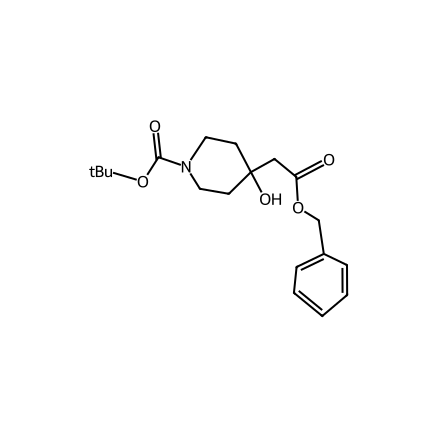 CC(C)(C)OC(=O)N1CCC(O)(CC(=O)OCc2ccccc2)CC1